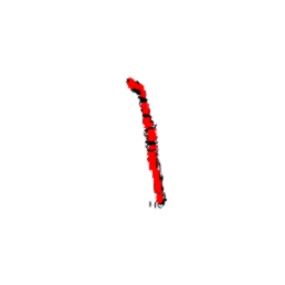 OCCOCCOCCOCCOCCOCCOCCOCCOCCOCCOCCOCCOCCOc1ccc2ccccc2c1